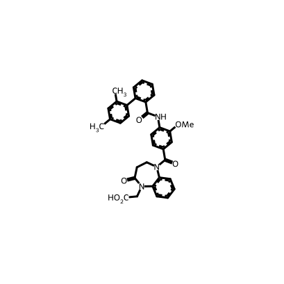 COc1cc(C(=O)N2CCC(=O)N(CC(=O)O)c3ccccc32)ccc1NC(=O)c1ccccc1-c1ccc(C)cc1C